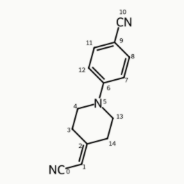 N#CC=C1CCN(c2ccc(C#N)cc2)CC1